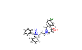 OC1(c2ccc(Cl)cc2)CCN(CCCNC(c2ccccc2)c2ccccc2)CC1